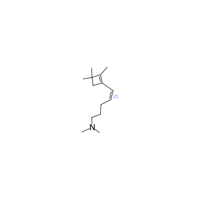 CC1=C(/C=C\CCCN(C)C)CC1(C)C